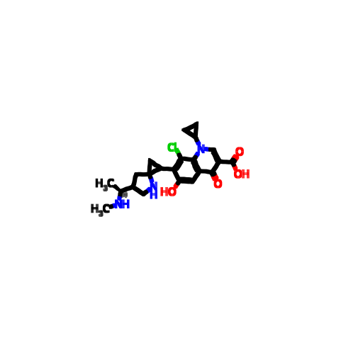 CN[C@@H](C)C1CNC2(C1)CC2c1c(O)cc2c(=O)c(C(=O)O)cn(C3CC3)c2c1Cl